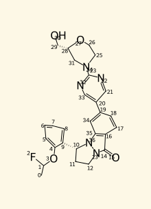 CC(F)Oc1ccccc1[C@H]1CCn2c(=O)c3ccc(-c4cnc(N5CCO[C@@H](CO)C5)nc4)cc3n21